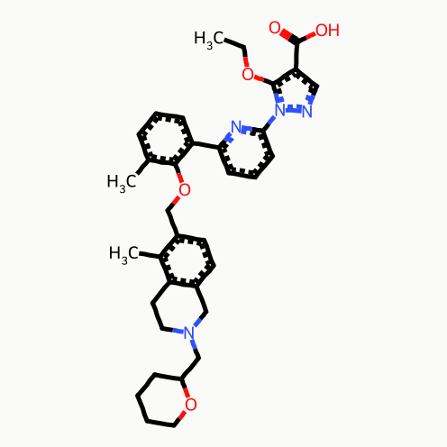 CCOc1c(C(=O)O)cnn1-c1cccc(-c2cccc(C)c2OCc2ccc3c(c2C)CCN(CC2CCCCO2)C3)n1